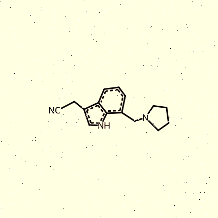 N#CCc1c[nH]c2c(CN3CCCC3)cccc12